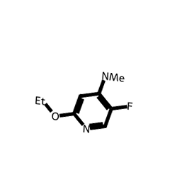 CCOc1cc(NC)c(F)cn1